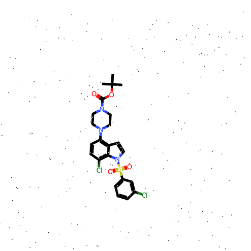 CC(C)(C)OC(=O)N1CCN(c2ccc(Cl)c3c2ccn3S(=O)(=O)c2cccc(Cl)c2)CC1